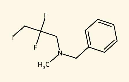 CN(Cc1ccccc1)CC(F)(F)CI